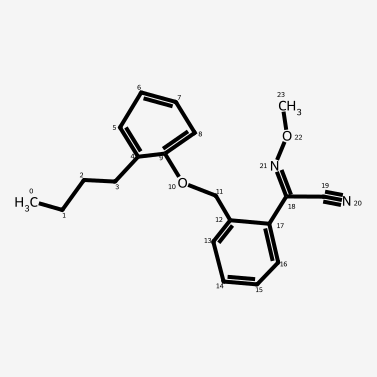 CCCCc1ccccc1OCc1ccccc1C(C#N)=NOC